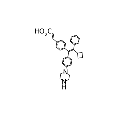 O=C(O)C=Cc1ccc(/C(=C(\c2ccccc2)C2CCC2)c2ccc(N3CCNCC3)cc2)cc1